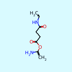 C=CNC(=O)CCC(=O)OC(=C)N